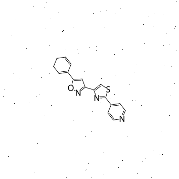 C1=CC(c2cc(-c3csc(-c4ccncc4)n3)no2)=CCC1